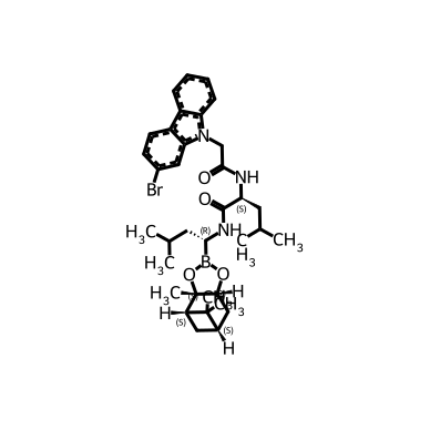 CC(C)C[C@H](NC(=O)[C@H](CC(C)C)NC(=O)Cn1c2ccccc2c2ccc(Br)cc21)B1O[C@@H]2C[C@@H]3C[C@@H](C3(C)C)[C@]2(C)O1